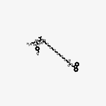 COCc1ccc(NC(=O)[C@H](CCCN)NC(=O)[C@@H](NC(=O)CCOCCOCCOCCOCCOCCOCCNC(=O)OCC2c3ccccc3-c3ccccc32)C(C)C)cc1